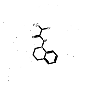 CC(Br)C(=O)NN1CCCc2ccccc21